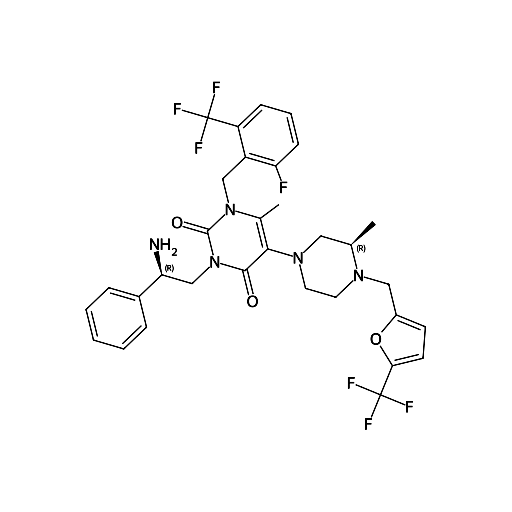 Cc1c(N2CCN(Cc3ccc(C(F)(F)F)o3)[C@H](C)C2)c(=O)n(C[C@H](N)c2ccccc2)c(=O)n1Cc1c(F)cccc1C(F)(F)F